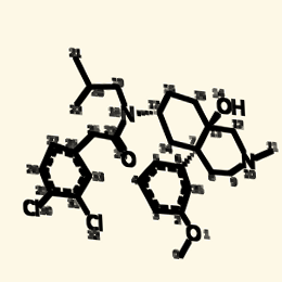 COc1cccc([C@@]23CCN(C)C[C@@]2(O)CC[C@@H](N(CC(C)C)C(=O)Cc2ccc(Cl)c(Cl)c2)C3)c1